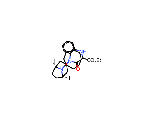 CCOC(=O)C1Nc2ccccc2N([C@H]2C[C@H]3CC[C@@H](C2)N3C2CCCCCCC2)C1=O